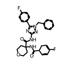 O=C(NC1(C(=O)Nc2nc(-c3ccc(F)cc3)n(Cc3ccccc3)n2)CCOCC1)C1C=CC(F)=CC1